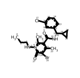 CCCNn1c(C)c(C(=O)N[C@H](c2cccc(Cl)c2)C2CC2)c(C)c(Br)c1=O